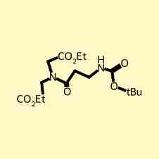 CCOC(=O)CN(CC(=O)OCC)C(=O)CCNC(=O)OC(C)(C)C